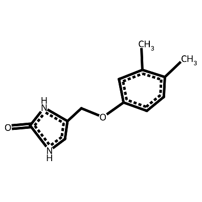 Cc1ccc(OCc2c[nH]c(=O)[nH]2)cc1C